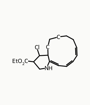 CCOC(=O)C1CNC2=CC=CC=CCCCCCC2C1Cl